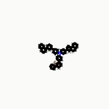 c1cc(-c2ccc(N(c3ccc(-c4ccc5c(ccc6ccccc65)c4)cc3)c3ccc(-c4cccc5c4sc4ccccc45)cc3)cc2)cc(-c2cccc3ccccc23)c1